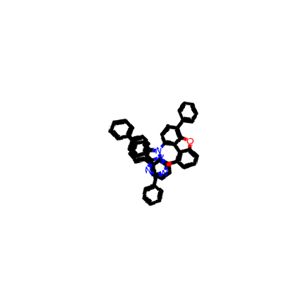 c1ccc(-c2ccc3c4ccccc4n(-c4ccc(-c5ccccc5)c5oc6cccc(-c7nc(-c8ccccc8)nc(-c8ccccc8)n7)c6c45)c3c2)cc1